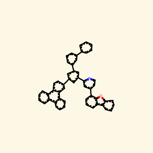 c1ccc(-c2cccc(-c3cc(-c4ccc5c6ccccc6c6ccccc6c5c4)cc(-c4cc(-c5cccc6c5oc5ccccc56)ccn4)c3)c2)cc1